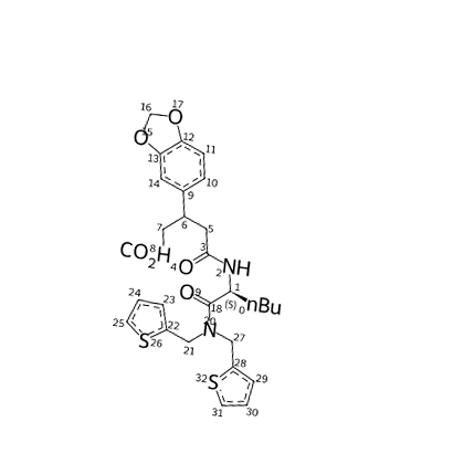 CCCC[C@H](NC(=O)CC(CC(=O)O)c1ccc2c(c1)OCO2)C(=O)N(Cc1cccs1)Cc1cccs1